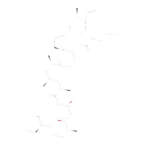 CC[C@@H](C(=O)[C@@H](C)[C@@H](O)[C@H](C)[C@@H]1O[C@@H]([C@@H](CC)C(=O)O)CC[C@@H]1C)[C@H]1O[C@]2(C=C[C@@H](OC(=O)NCCO)[C@]3(CC[C@@](C)([C@H]4CC[C@](O)(CC)[C@H](C)O4)O3)O2)[C@H](C)C[C@@H]1C